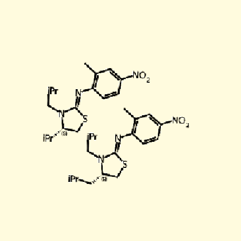 Cc1cc([N+](=O)[O-])ccc1N=C1SC[C@H](C(C)C)N1CC(C)C.Cc1cc([N+](=O)[O-])ccc1N=C1SC[C@H](CC(C)C)N1CC(C)C